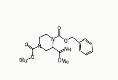 COC(=N)C1CN(C(=O)OC(C)(C)C)CCN1C(=O)OCc1ccccc1